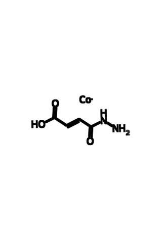 NNC(=O)C=CC(=O)O.[Co]